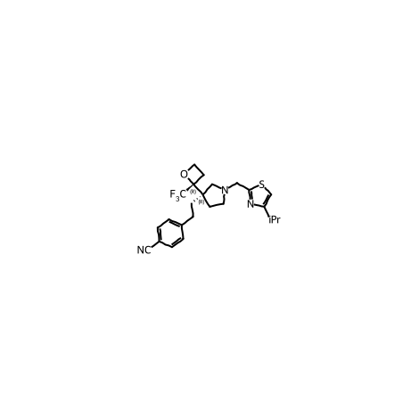 CC(C)c1csc(CN2CC[C@@](CCc3ccc(C#N)cc3)([C@@]3(C(F)(F)F)CCO3)C2)n1